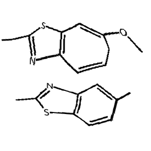 COc1ccc2nc(C)sc2c1.Cc1ccc2sc(C)nc2c1